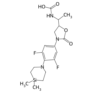 CC(NC(=O)O)C1CN(c2cc(F)c(N3CC[Si](C)(C)CC3)c(F)c2)C(=O)O1